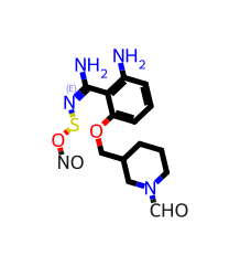 N/C(=N/SON=O)c1c(N)cccc1OCC1CCCN(C=O)C1